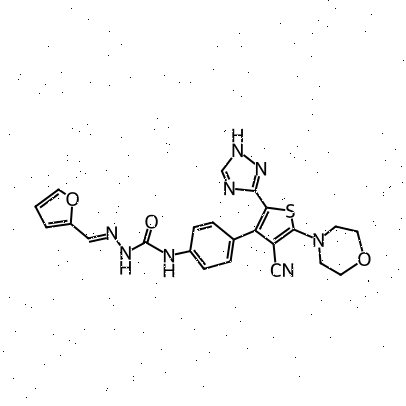 N#Cc1c(N2CCOCC2)sc(-c2nc[nH]n2)c1-c1ccc(NC(=O)N/N=C/c2ccco2)cc1